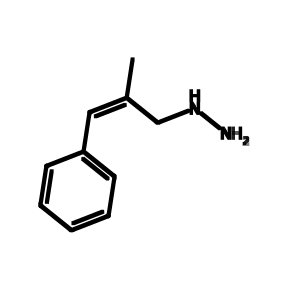 CC(=Cc1ccccc1)CNN